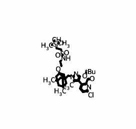 Cc1c(-c2ccc(Cl)nc2C(=O)OC(C)(C)C)cnn1CC12CC3(C)CC(C)(C1)CC(OCCNS(=O)(=O)CC[Si](C)(C)C)(C3)C2